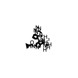 [2H]C([2H])([2H])NC(=O)c1cnc(NC(=O)C2CC2)cc1Nc1cccc2c1N(C)Cc1nnnn1-2